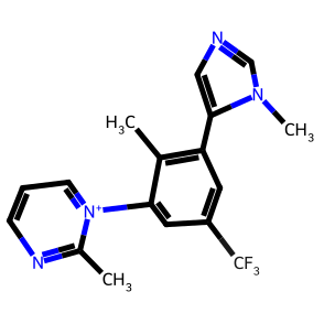 Cc1c(-c2cncn2C)cc(C(F)(F)F)cc1-[n+]1cccnc1C